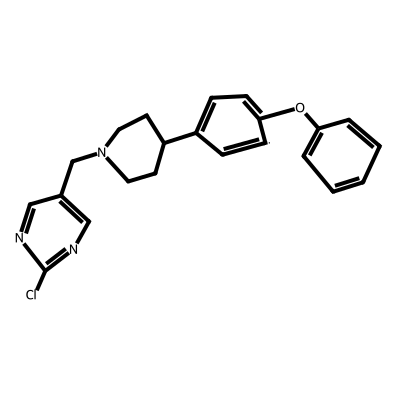 Clc1ncc(CN2CCC(c3c[c]c(Oc4ccccc4)cc3)CC2)cn1